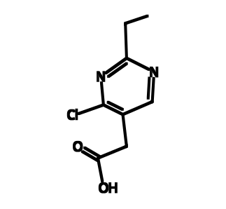 CCc1ncc(CC(=O)O)c(Cl)n1